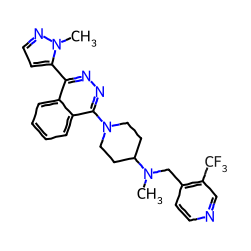 CN(Cc1ccncc1C(F)(F)F)C1CCN(c2nnc(-c3ccnn3C)c3ccccc23)CC1